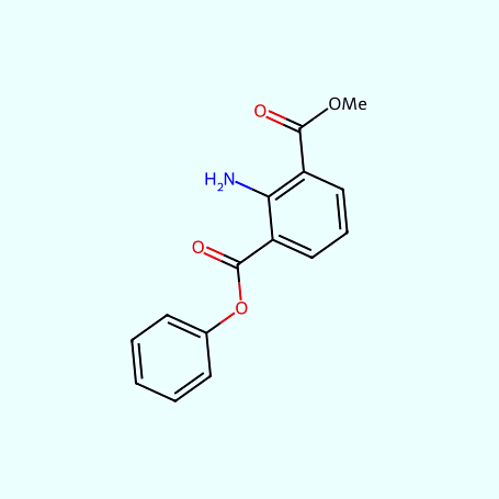 COC(=O)c1cccc(C(=O)Oc2ccccc2)c1N